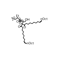 CCCCCCCC/C=C\CCCCCCCC(=O)C(OP(=O)([O-])OC(CC)C[N+](C)(C)C)(C(=O)CCCCCCC/C=C\CCCCCCCC)[C@@H](O)CO